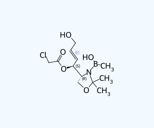 CB(O)N1[C@@H]([C@H](/C=C/CO)OC(=O)CCl)COC1(C)C